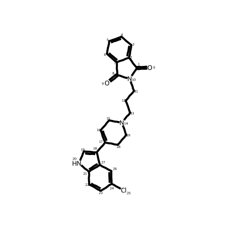 O=C1c2ccccc2C(=O)N1CCCN1CC=C(c2c[nH]c3ccc(Cl)cc23)CC1